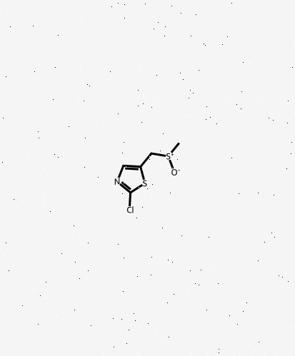 C[S+]([O-])Cc1cnc(Cl)s1